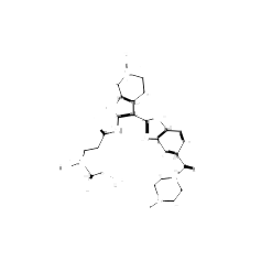 CC(C)N(CCC(=O)Nc1sc2c(c1-c1nc3cc(C(=O)N4CCN(C)CC4)ccc3s1)CCN(C(=O)O)C2)C(=O)OC(C)(C)C